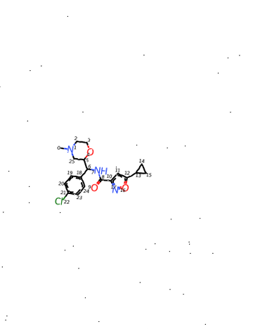 CN1CCOC(C(NC(=O)c2cc(C3CC3)on2)c2ccc(Cl)cc2)C1